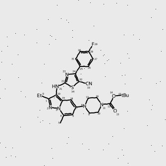 CCc1nn2c(C)cc(N3CCN(C(=O)OC(C)(C)C)CC3)cc2c1Nc1nc(-c2ccc(F)cc2)c(C#N)s1